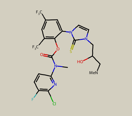 CNCC(O)Cn1ccn(-c2cc(C(F)(F)F)cc(C(F)(F)F)c2OC(=O)N(C)c2ccc(F)c(Cl)n2)c1=S